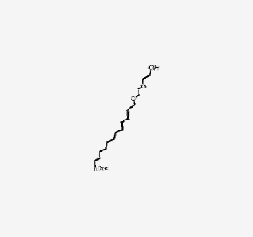 CCCCCCCCCCCCCCCCCCCCCCOCCOCCO